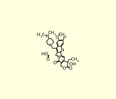 CC[C@@]1(O)C(=O)OCc2c1cc1n(c2=O)Cc2c-1nc1cc(F)c(OC)cc1c2CN1CCC(N(C)C)CC1.O=CO